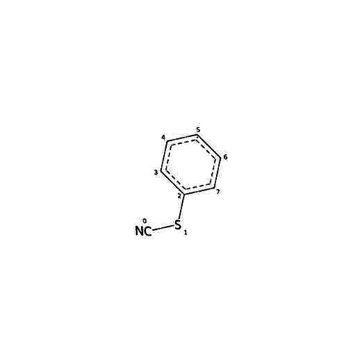 N#CSc1cc[c]cc1